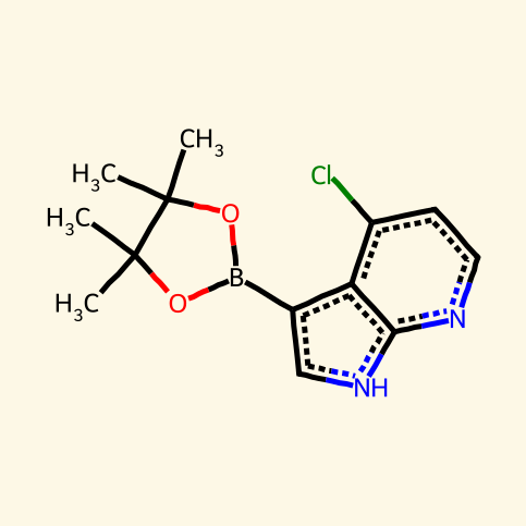 CC1(C)OB(c2c[nH]c3nccc(Cl)c23)OC1(C)C